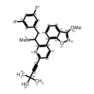 CNC(Cc1cc(F)cc(F)c1)c1nc(C#CC(C)(C)O)ccc1-c1cccc2c(OC)noc12